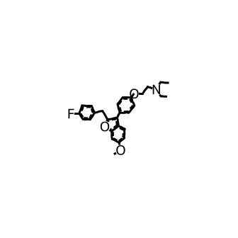 CCN(CC)CCOc1ccc(-c2c(Cc3ccc(F)cc3)oc3cc(OC)ccc23)cc1